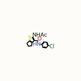 CC(=O)Nc1sc2c(c1C(=O)Nc1ccc(Cl)cc1)CCC2